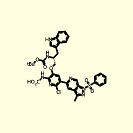 Cc1nn(S(=O)(=O)c2ccccc2)c2cnc(-c3cc(OC[C@@H](Cc4c[nH]c5ccccc45)NC(=O)OC(C)(C)C)c(NC(=O)O)nc3Cl)cc12